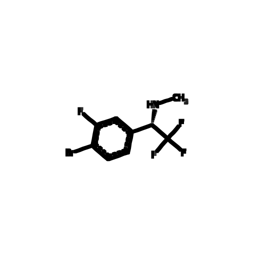 CN[C@@H](c1ccc(Br)c(F)c1)C(F)(F)F